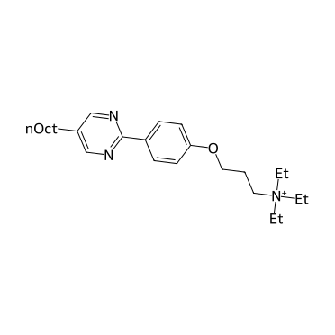 CCCCCCCCc1cnc(-c2ccc(OCCC[N+](CC)(CC)CC)cc2)nc1